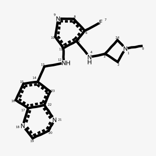 CN1CC(Nc2c(F)cncc2NCc2ccc3nccnc3c2)C1